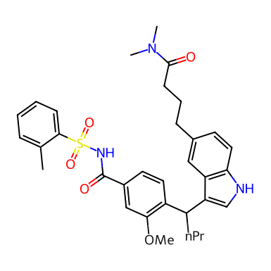 CCCC(c1ccc(C(=O)NS(=O)(=O)c2ccccc2C)cc1OC)c1c[nH]c2ccc(CCCC(=O)N(C)C)cc12